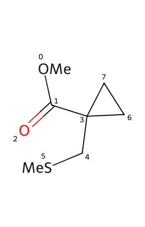 COC(=O)C1(CSC)CC1